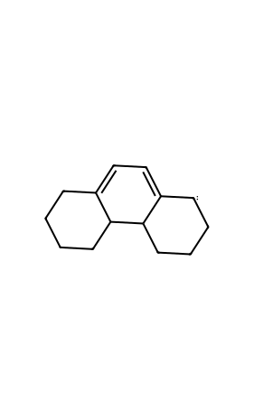 [C]1CCCC2C1=CC=C1CCCCC12